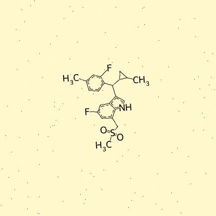 Cc1ccc(C(c2c[nH]c3c(CS(C)(=O)=O)cc(F)cc23)C2CC2C)c(F)c1